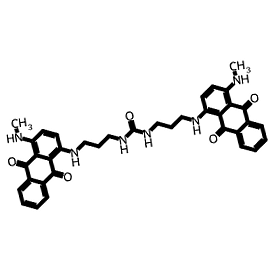 CNc1ccc(NCCCNC(=O)NCCCNc2ccc(NC)c3c2C(=O)c2ccccc2C3=O)c2c1C(=O)c1ccccc1C2=O